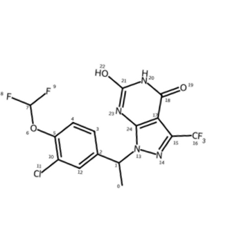 CC(c1ccc(OC(F)F)c(Cl)c1)n1nc(C(F)(F)F)c2c(=O)[nH]c(O)nc21